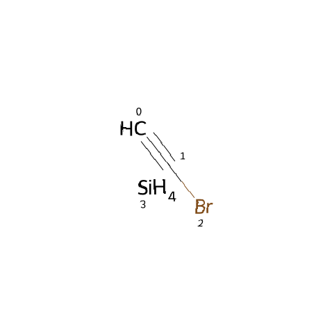 C#CBr.[SiH4]